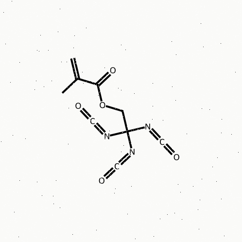 C=C(C)C(=O)OCC(N=C=O)(N=C=O)N=C=O